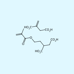 C=C(C)C(=O)OCCC(CC(=O)O)C(=O)O.C=C(CC(=O)O)C(=O)O